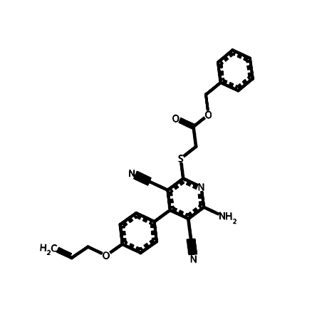 C=CCOc1ccc(-c2c(C#N)c(N)nc(SCC(=O)OCc3ccccc3)c2C#N)cc1